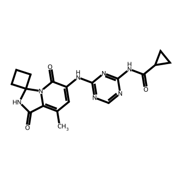 Cc1cc(Nc2ncnc(NC(=O)C3CC3)n2)c(=O)n2c1C(=O)NC21CCC1